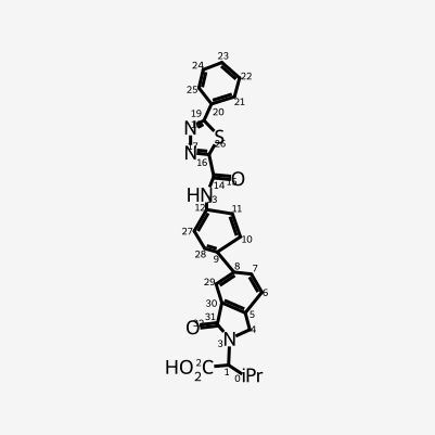 CC(C)C(C(=O)O)N1Cc2ccc(-c3ccc(NC(=O)c4nnc(-c5ccccc5)s4)cc3)cc2C1=O